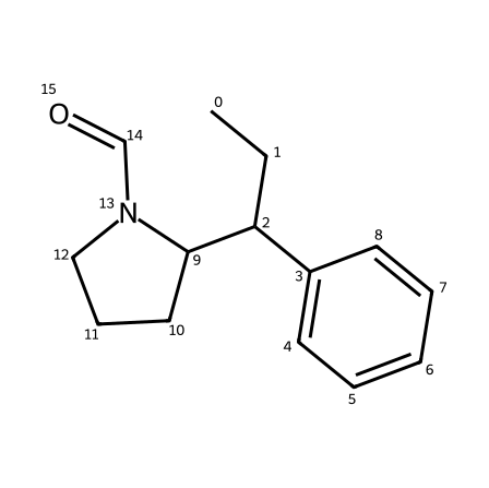 CCC(c1ccccc1)C1CCCN1C=O